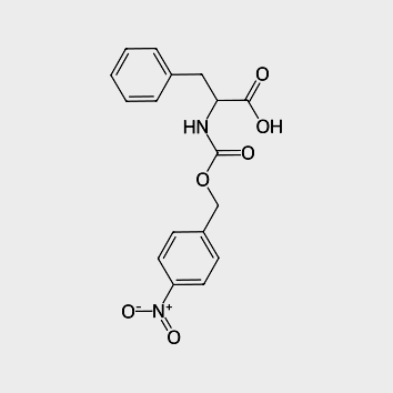 O=C(NC(Cc1ccccc1)C(=O)O)OCc1ccc([N+](=O)[O-])cc1